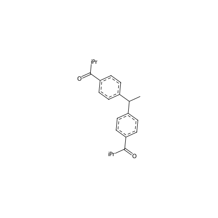 CC(C)C(=O)c1ccc(C(C)c2ccc(C(=O)C(C)C)cc2)cc1